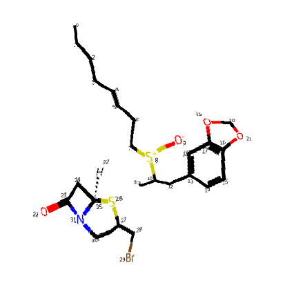 CCCCCCCC[S+]([O-])C(C)Cc1ccc2c(c1)OCO2.O=C1C[C@H]2SC(CBr)CN12